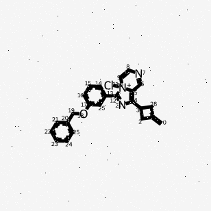 C=C1CC(C2=C3C=NC=C[N+]3(Cl)C(c3cccc(OCc4ccccc4)c3)=N2)C1